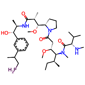 CC[C@H](C)[C@@H]([C@@H](CC(=O)N1CCC[C@H]1[C@H](OC)[C@@H](C)C(=O)N[C@H](C)[C@@H](O)c1cccc(C(C)CP)c1)OC)N(C)C(=O)[C@@H](NC)C(C)C